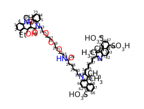 CCc1cccc2c1c(O)c(C(=O)N(CCOCCOCCOCCNC(=O)CCCCCN1/C(=C/C=C/C=C/C3=Nc4ccc5c(S(=O)(=O)O)cc(S(=O)(=O)O)cc5c4C3(C)C)C(C)(C)c3c1ccc1c(S(=O)(=O)O)cccc31)c1ccccc1)c(=O)n2C